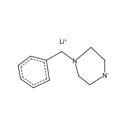 [Li+].c1ccc(CN2CC[N-]CC2)cc1